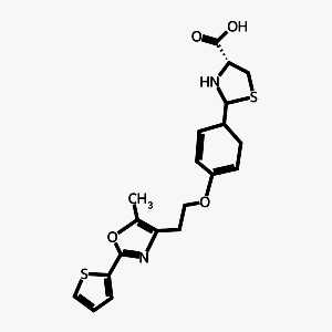 Cc1oc(-c2cccs2)nc1CCOC1=CCC(C2N[C@H](C(=O)O)CS2)C=C1